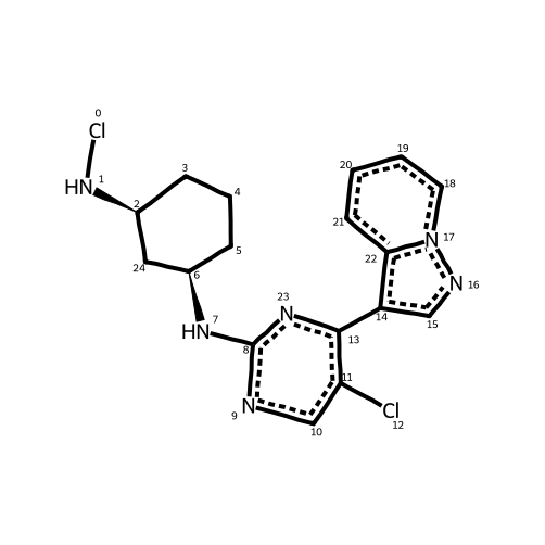 ClN[C@H]1CCC[C@@H](Nc2ncc(Cl)c(-c3cnn4ccccc34)n2)C1